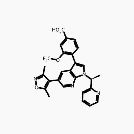 Cc1noc(C)c1-c1cnc2c(c1)c(-c1ccc(C(=O)O)cc1OC(F)(F)F)cn2[C@@H](C)c1ccccn1